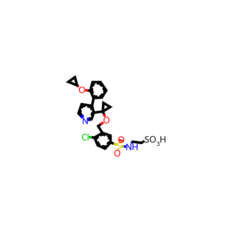 O=S(=O)(O)CCNS(=O)(=O)c1ccc(Cl)c(COC2(c3cnccc3-c3ccccc3OC3CC3)CC2)c1